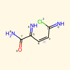 N=C(Cl)/C=C\C(=N)C(N)=O